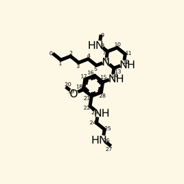 CCCCCCN1C(NC)CCNC1Nc1ccc(OC)c(CNCCNC)c1